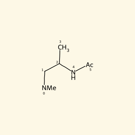 CNCC(C)NC(C)=O